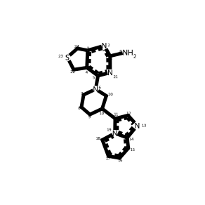 Nc1nc2c(c(N3CCCC(c4cnc5ccccn45)C3)n1)CSC2